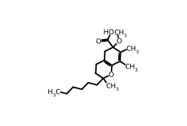 CCCCCCC1(C)CCC2=C(O1)C(C)=C(C)C(OC)(C(=O)O)C2